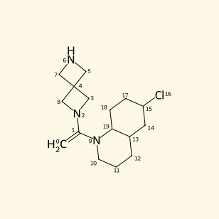 C=C(N1CC2(CNC2)C1)N1CCCC2CC(Cl)CCC21